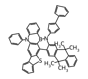 CC1(C)c2ccccc2C(C)(C)c2cc3c(cc21)-c1c2c(cc4c1sc1ccccc14)N(c1ccccc1)c1ccccc1B2N3c1ccc(-c2ccccc2)cc1